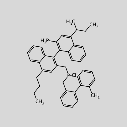 CCCCc1cc(CP(C)Cc2ccccc2-c2ccccc2C)c(-c2c(P)cc(C(C)CC)c3ccccc23)c2ccccc12